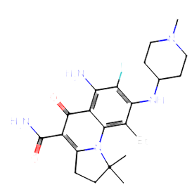 CCc1c(NC2CCN(C)CC2)c(F)c(N)c2c(=O)c(C(N)=O)c3n(c12)C(C)(C)CC3